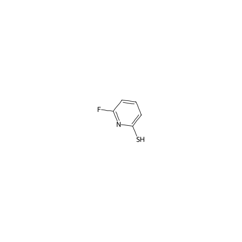 Fc1cccc(S)n1